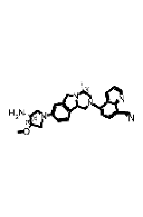 CO[C@@H]1CN(c2ccc3c(c2)CN2C3CN(c3ccc(C#N)c4ncccc34)C[C@H]2C)C[C@H]1N